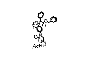 CC(=O)NC[C@H]1CN(c2ccc(NC(C(=O)OCc3ccccc3)c3ccccc3)c(F)c2)C(=O)O1